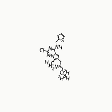 [2H]C([2H])([2H])OC[C@H](N)Cc1cc2c(NCc3cccs3)nc(Cl)nn2c1C